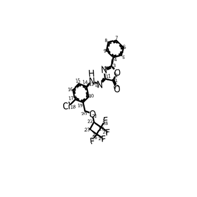 O=C1OC(c2ccccc2)=NC1=NNc1ccc(Cl)c(COC2CC(F)(F)C2(F)F)c1